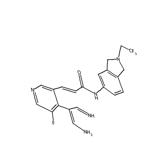 N=C/C(=C\N)c1c(F)cncc1/C=C/C(=O)Nc1ccc2c(c1)CN(CC(F)(F)F)C2